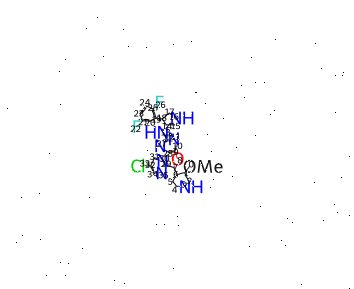 COC1CNCCC1C(Oc1cnc(NC2CNCC2c2cc(F)ccc2F)nc1)c1ncc(Cl)cn1